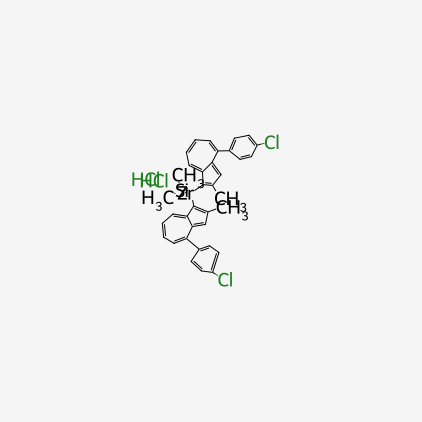 Cc1cc2c(-c3ccc(Cl)cc3)ccccc-2[c]1[Zr]([c]1c(C)cc2c(-c3ccc(Cl)cc3)ccccc1-2)=[Si](C)C.Cl.Cl